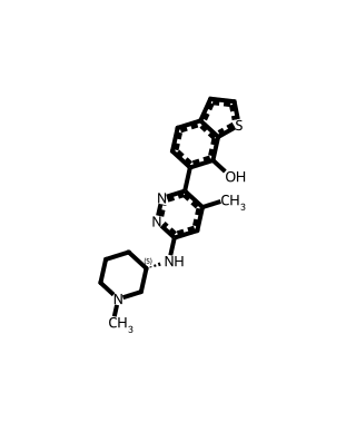 Cc1cc(N[C@H]2CCCN(C)C2)nnc1-c1ccc2ccsc2c1O